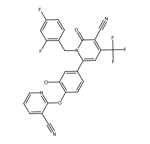 N#Cc1cccnc1Oc1ccc(-c2cc(C(F)(F)F)c(C#N)c(=O)n2Cc2ccc(F)cc2F)cc1Cl